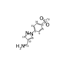 CS(=O)(=O)c1ccc(-n2cc(CN)cn2)cc1